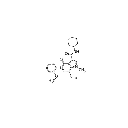 COc1ccccc1-n1cc(C)c2c(c(C(=O)NC3CCCCC3)cn2C)c1=O